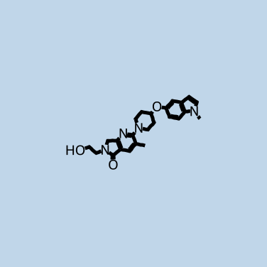 Cc1cc2c(nc1N1CCC(Oc3ccc4c(ccn4C)c3)CC1)CN(CCO)C2=O